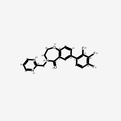 O=C1c2cc(-c3ccc(F)c(F)c3F)ccc2OCCN1Cc1ncccn1